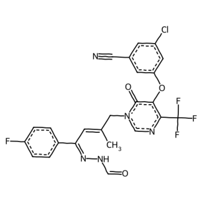 C/C(=C\C(=N/NC=O)c1ccc(F)cc1)Cn1cnc(C(F)(F)F)c(Oc2cc(Cl)cc(C#N)c2)c1=O